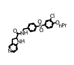 CCCOc1ccc(S(=O)(=O)c2ccc(CNC(=O)C3Cc4cnccc4N3)cc2)cc1Cl